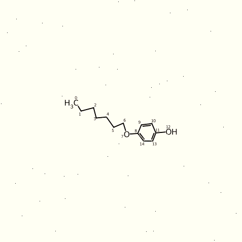 CCCCCCCOc1ccc(O)cc1